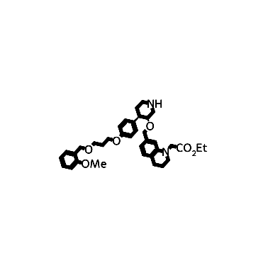 CCOC(=O)CN1CCCc2ccc(CO[C@H]3CNCC[C@@H]3c3ccc(OCCCOCc4ccccc4OC)cc3)cc21